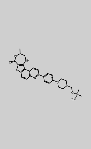 CC1CNc2c(sc3ccc4nc(-c5ccc(N6CCC(CO[Si](C)(C)C(C)(C)C)CC6)nc5)ccc4c23)C(=O)N1